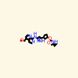 COCc1ccnc2c(Nc3cc(C4CCC(OC(=O)NC5(C)CC5)C4)[nH]n3)nccc12